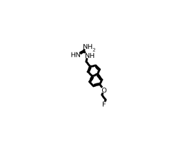 N=C(N)NCc1ccc2cc(OCCF)ccc2c1